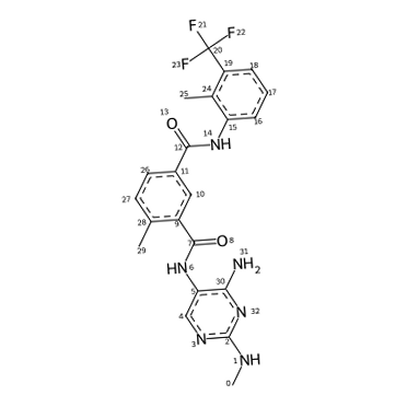 CNc1ncc(NC(=O)c2cc(C(=O)Nc3cccc(C(F)(F)F)c3C)ccc2C)c(N)n1